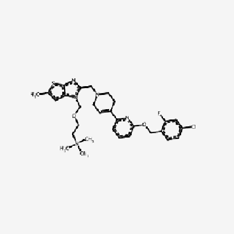 Cc1cc2c(nc(CN3CC=C(c4cccc(OCc5ccc(Cl)cc5F)n4)CC3)n2COCC[Si](C)(C)C)s1